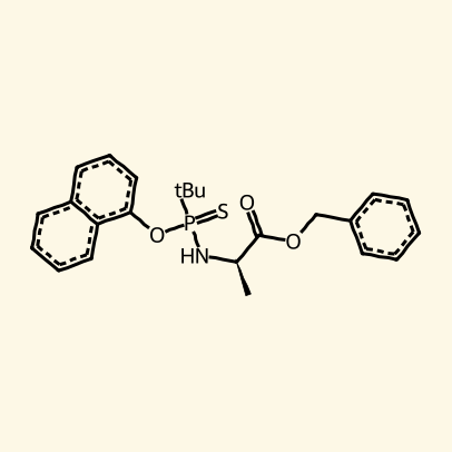 C[C@@H](NP(=S)(Oc1cccc2ccccc12)C(C)(C)C)C(=O)OCc1ccccc1